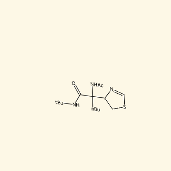 CCCCC(NC(C)=O)([C]1CSC=N1)C(=O)NC(C)(C)C